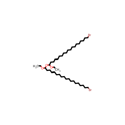 CCOC(CCC=CCCCCCCCCCCCCCCBr)OC(CCC=CCCCCCCCCCCCCCCBr)OCC